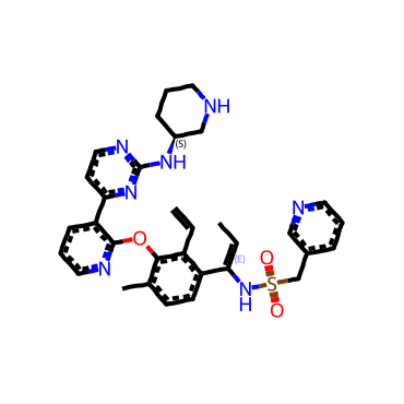 C=Cc1c(/C(=C\C)NS(=O)(=O)Cc2cccnc2)ccc(C)c1Oc1ncccc1-c1ccnc(N[C@H]2CCCNC2)n1